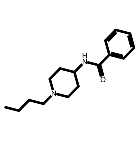 CCCCN1CCC(NC(=O)c2ccccc2)CC1